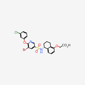 O=C(O)COc1cccc2c1CCC[C@H]2NS(=O)(=O)c1cnc(Oc2cccc(Cl)c2)c(Br)c1